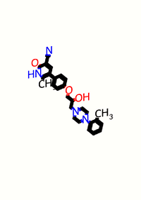 Cc1ccccc1N1CCN(CC(O)COc2ccc(-c3cc(C#N)c(=O)[nH]c3C)cc2)CC1